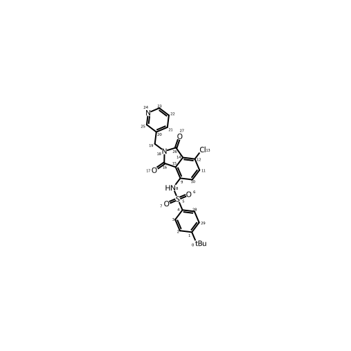 CC(C)(C)c1ccc(S(=O)(=O)Nc2ccc(Cl)c3c2C(=O)N(Cc2cccnc2)C3=O)cc1